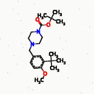 COc1ccc(CN2CCN(C(=O)OC(C)(C)C)CC2)cc1C(C)(C)C